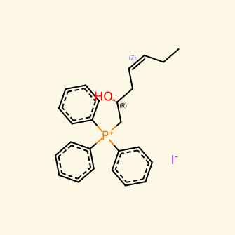 CC/C=C\C[C@@H](O)C[P+](c1ccccc1)(c1ccccc1)c1ccccc1.[I-]